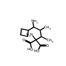 CC(C(N)C1CCC1)C(C)C(N)(C(=O)O)C(=O)O